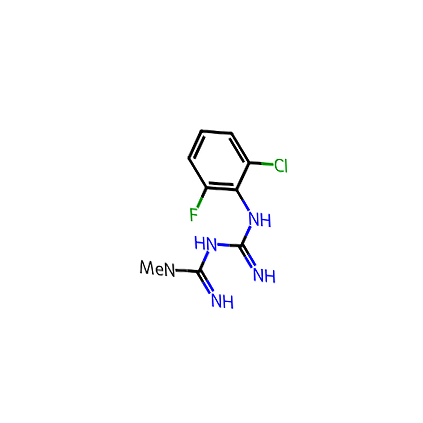 CNC(=N)NC(=N)Nc1c(F)cccc1Cl